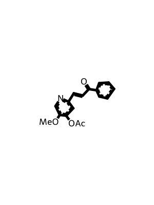 COc1cnc(C=CC(=O)c2ccccc2)cc1OC(C)=O